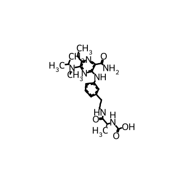 CCc1nc(C(N)=O)c(Nc2cccc(CCNC(=O)[C@H](C)NC(=O)O)c2)nc1N(C)C(C)C